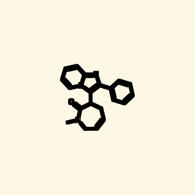 CN1CC=CCC(c2c(-c3ccccc3)nc3ccccn23)C1=O